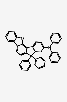 C1=C2c3c(ccc4c3oc3ccccc34)C(c3ccccc3)(c3ccccc3)C2CC(N(c2ccccc2)c2ccccc2)=C1